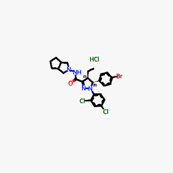 CC[C@@H]1C(C(=O)NN2CC3CCCC3C2)=NN(c2ccc(Cl)cc2Cl)[C@H]1c1ccc(Br)cc1.Cl